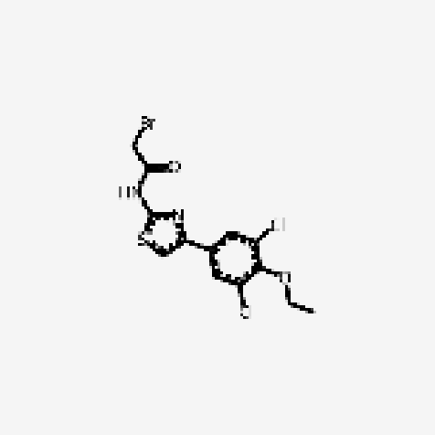 CCOc1c(Cl)cc(-c2csc(NC(=O)CBr)n2)cc1Cl